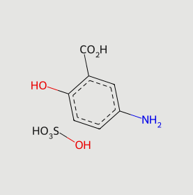 Nc1ccc(O)c(C(=O)O)c1.O=S(=O)(O)O